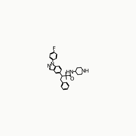 CC(C)(C(=O)NC1CCNCC1)C(Cc1ccccc1)c1ccc2c(cnn2-c2ccc(F)cc2)c1